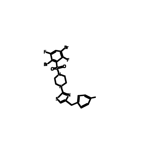 Cc1ccc(Cc2csc(N3CCN(S(=O)(=O)c4c(F)c(Br)cc(F)c4Br)CC3)n2)cc1